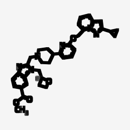 COC(=O)c1ccc2nc(CN3CCC(c4cccc(OCc5cccc6cc(C7CC7)nn56)n4)CC3)n(C[C@@H]3CCO3)c2c1